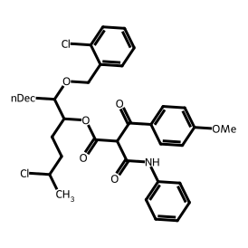 CCCCCCCCCCC(OCc1ccccc1Cl)C(CCC(C)Cl)OC(=O)C(C(=O)Nc1ccccc1)C(=O)c1ccc(OC)cc1